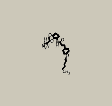 CCCCC=COc1ccc(C=CC(=O)Nc2cccc3c2OC(c2nnn[nH]2)CO3)cc1